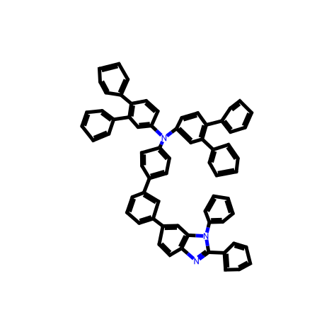 c1ccc(-c2ccc(N(c3ccc(-c4cccc(-c5ccc6nc(-c7ccccc7)n(-c7ccccc7)c6c5)c4)cc3)c3ccc(-c4ccccc4)c(-c4ccccc4)c3)cc2-c2ccccc2)cc1